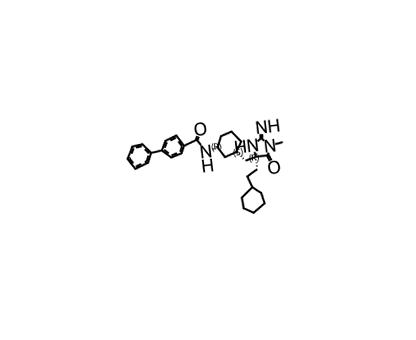 CN1C(=N)N[C@](CCC2CCCCC2)(C[C@H]2CCC[C@@H](NC(=O)c3ccc(-c4ccccc4)cc3)C2)C1=O